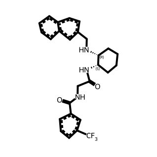 O=C(CNC(=O)c1cccc(C(F)(F)F)c1)N[C@H]1CCCC[C@H]1NCc1ccc2ccccc2c1